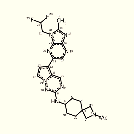 CC(=O)N1CC2(CCC(Nc3ncc4c(-c5cnc6nc(C)n(CC(F)F)c6n5)ccn4n3)CC2)C1